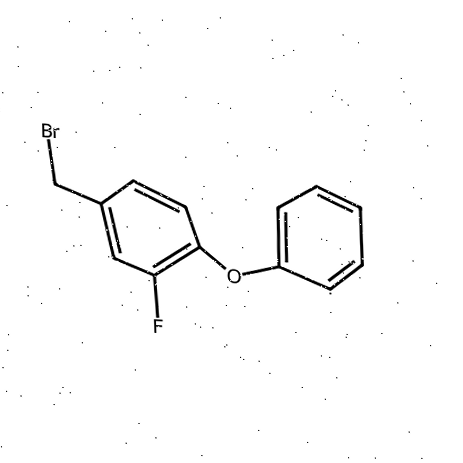 Fc1cc(CBr)ccc1Oc1[c]cccc1